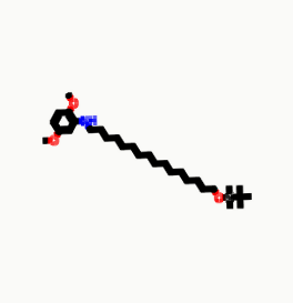 COc1ccc(OC)c(NCCCCCCCCCCCCCCCCO[Si](C)(C)C(C)(C)C)c1